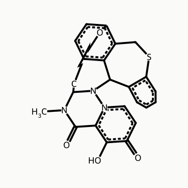 CN1C(=O)c2c(O)c(=O)ccn2N2C3c4ccccc4SCc4c(cccc43)OCCCCCC12